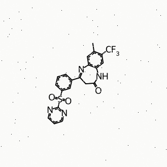 Cc1cc2c(cc1C(F)(F)F)NC(=O)CC(c1cccc(S(=O)(=O)c3ncccn3)c1)=N2